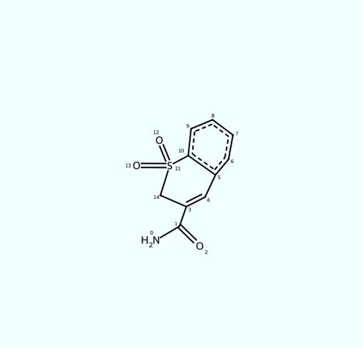 NC(=O)C1=Cc2ccccc2S(=O)(=O)C1